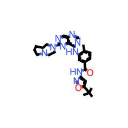 Cc1ccc(C(=O)Nc2cc(C(C)(C)C)on2)cc1Nc1ncnc2cnc(N3CCN4CCCC4C3)nc12